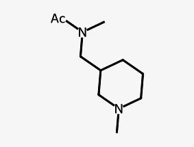 [CH2]C(=O)N(C)CC1CCCN(C)C1